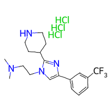 CN(C)CCn1cc(-c2cccc(C(F)(F)F)c2)nc1C1CCNCC1.Cl.Cl.Cl